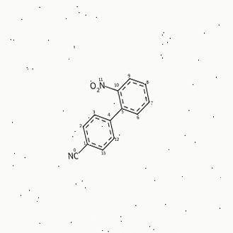 N#Cc1ccc(-c2ccccc2[N+](=O)[O-])cc1